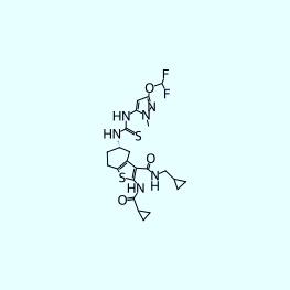 Cn1nc(OC(F)F)cc1NC(=S)N[C@H]1CCc2sc(NC(=O)C3CC3)c(C(=O)NCC3CC3)c2C1